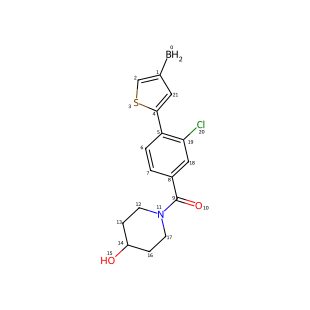 Bc1csc(-c2ccc(C(=O)N3CCC(O)CC3)cc2Cl)c1